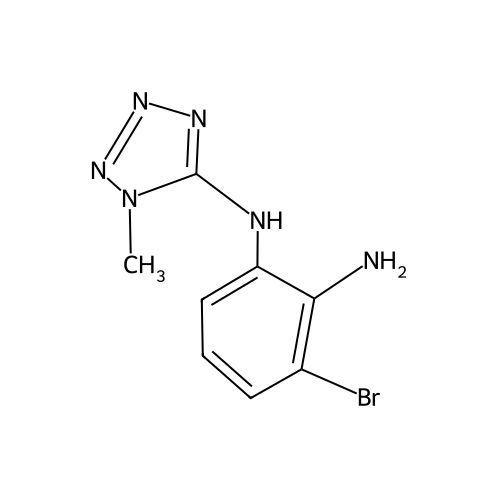 Cn1nnnc1Nc1cccc(Br)c1N